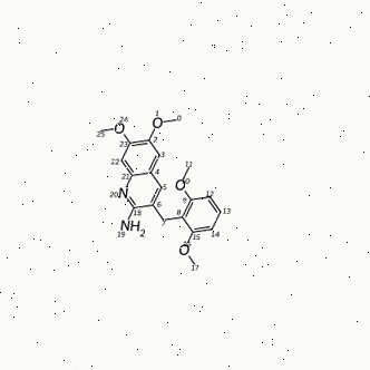 COc1cc2cc(Cc3c(OC)cccc3OC)c(N)nc2cc1OC